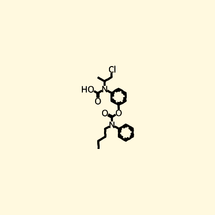 CCCCN(C(=O)Oc1cccc(N(C(=O)O)C(C)CCl)c1)c1ccccc1